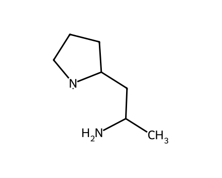 CC(N)CC1CCC[N]1